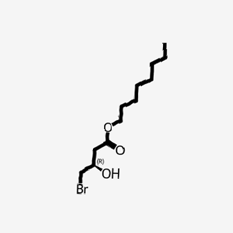 CCCCCCCCOC(=O)C[C@@H](O)CBr